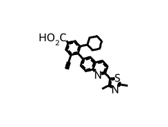 C#Cc1cc(C(=O)O)cc(C2CCCCC2)c1-c1ccc2nc(-c3sc(C)nc3C)ccc2c1